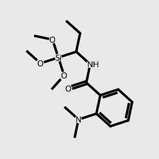 CCC(NC(=O)c1ccccc1N(C)C)[Si](OC)(OC)OC